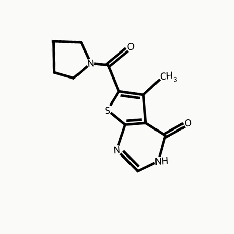 Cc1c(C(=O)N2CCCC2)sc2nc[nH]c(=O)c12